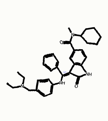 CCN(CC)Cc1ccc(N/C(=C2\C(=O)Nc3ccc(C(=O)N(C)C4CCCCC4)cc32)c2ccccc2)cc1